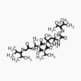 CCC(C)(CC(C)(C)NC(=O)ON=C(C(C)C)C(C)C)n1c(=O)n(C(C)C)c(=O)n(C(C)NC(=O)CN=C(C(C)C)C(C)C)c1=O